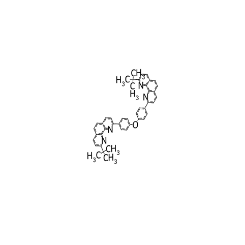 CC(C)(C)c1ccc2ccc3ccc(-c4ccc(Oc5ccc(-c6ccc7ccc8ccc(C(C)(C)C)nc8c7n6)cc5)cc4)nc3c2n1